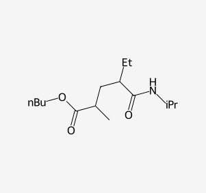 CCCCOC(=O)C(C)CC(CC)C(=O)NC(C)C